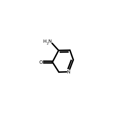 NC1=CC=NCC1=O